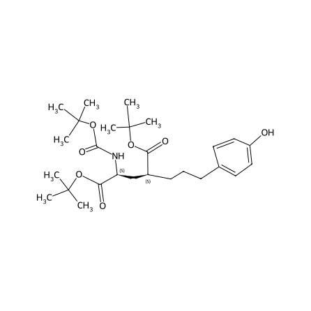 CC(C)(C)OC(=O)N[C@@H](C[C@H](CCCc1ccc(O)cc1)C(=O)OC(C)(C)C)C(=O)OC(C)(C)C